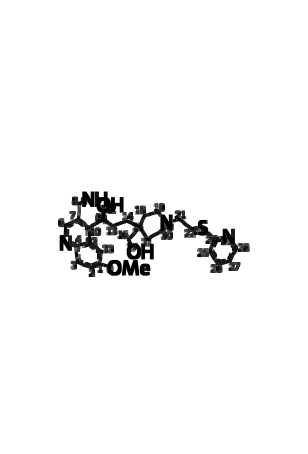 COc1ccc2ncc(CN)c([C@@H](O)CCC3(CO)CCN(CCSc4ccccn4)CC3)c2c1